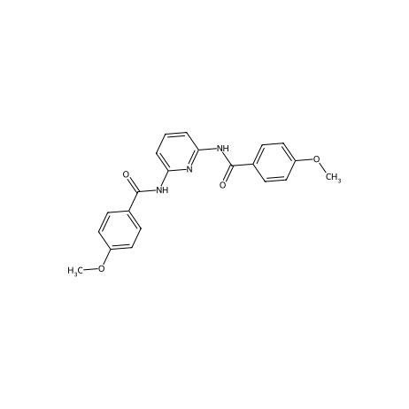 COc1ccc(C(=O)Nc2cccc(NC(=O)c3ccc(OC)cc3)n2)cc1